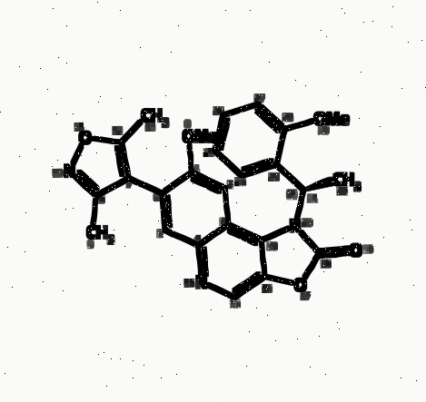 COc1cc2c(cc1-c1c(C)noc1C)ncc1oc(=O)n([C@H](C)c3ccccc3OC)c12